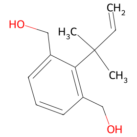 C=CC(C)(C)c1c(CO)cccc1CO